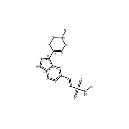 CNS(=O)(=O)/C=C/c1ccc2[nH]cc(C3=CCN(C)CC3)c2c1